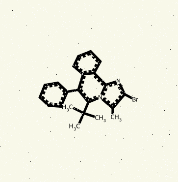 Cc1c(Br)nc2c3ccccc3c(-c3ccccc3)c(C(C)(C)C)n12